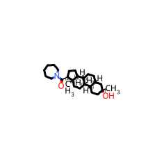 C[C@@]1(O)CC[C@H]2[C@H](CC[C@@H]3[C@@H]2CC[C@]2(C)[C@@H](C(=O)N4CCCCCC4)CC[C@@H]32)C1